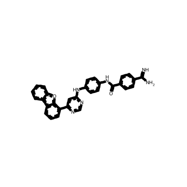 N=C(N)c1ccc(C(=O)Nc2ccc(Nc3cc(-c4cccc5c4oc4ccccc45)ncn3)cc2)cc1